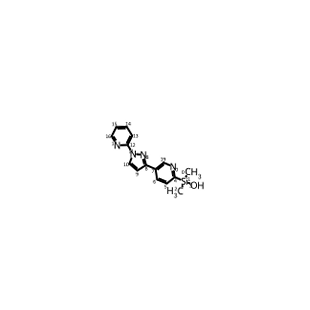 C[Si](C)(O)c1ccc(-c2ccn(-c3ccccn3)n2)cn1